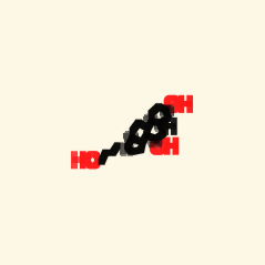 C[C@]12CCC3C(C1CC[C@@H]2CCCCO)[C@H](O)C[C@@H]1C[C@H](O)CC[C@]31C